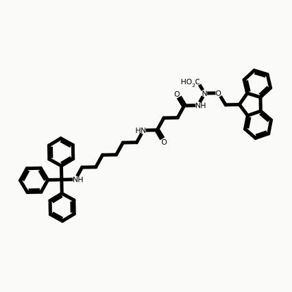 O=C(CCC(=O)NN(OCC1c2ccccc2-c2ccccc21)C(=O)O)NCCCCCCNC(c1ccccc1)(c1ccccc1)c1ccccc1